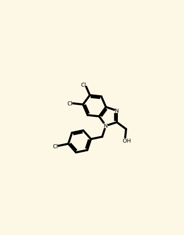 OCc1nc2cc(Cl)c(Cl)cc2n1Cc1ccc(Cl)cc1